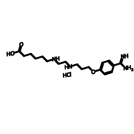 Cl.N=C(N)c1ccc(OCCCNCCNCCCCCC(=O)O)cc1